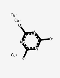 [Cu+].[Cu+].[Cu+].[O-]c1nc([O-])nc([S-])n1